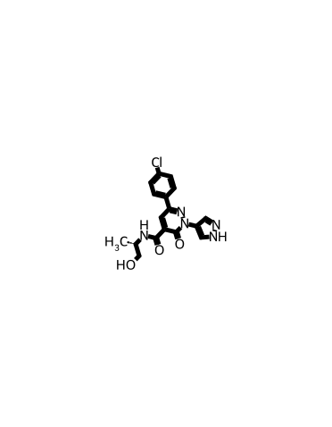 C[C@@H](CO)NC(=O)c1cc(-c2ccc(Cl)cc2)nn(-c2cn[nH]c2)c1=O